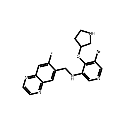 Fc1cc2nccnc2cc1CNc1cncc(Br)c1OC1CCNC1